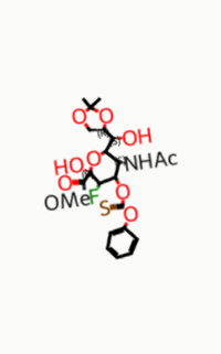 COC(=O)[C@@]1(O)OC([C@H](O)[C@H]2COC(C)(C)O2)[C@H](NC(C)=O)C(OC(=S)Oc2ccccc2)C1F